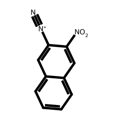 N#[N+]c1cc2ccccc2cc1[N+](=O)[O-]